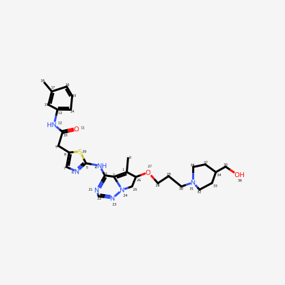 CC1=C2C(Nc3ncc(CC(=O)Nc4cccc(C)c4)s3)=NC=NN2CC1OCCCN1CCC(CO)CC1